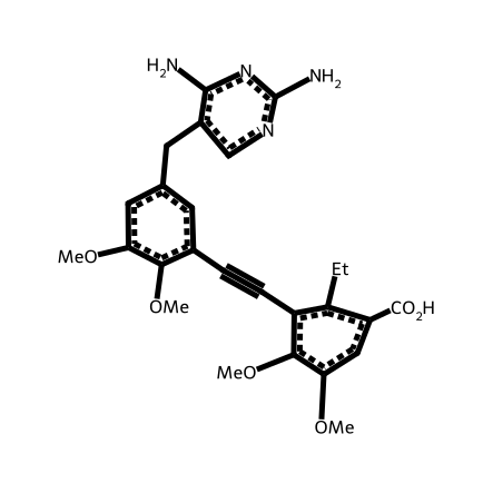 CCc1c(C(=O)O)cc(OC)c(OC)c1C#Cc1cc(Cc2cnc(N)nc2N)cc(OC)c1OC